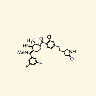 CN/C(=C1/CCN(C(=O)c2ccc(CCC3CNC(=O)C3)cc2Cl)[C@H](C)C1=N)c1cc(F)cc(F)c1